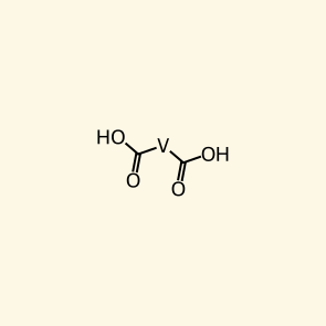 O=[C](O)[V][C](=O)O